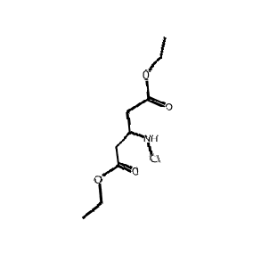 CCOC(=O)CC(CC(=O)OCC)NCl